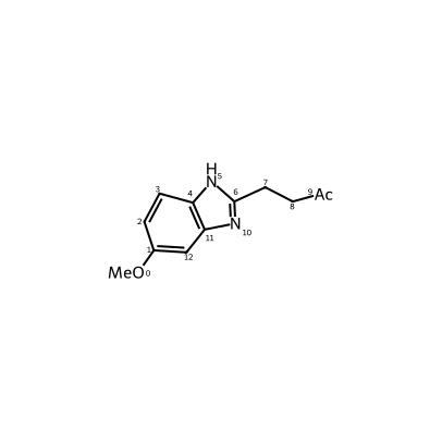 COc1ccc2[nH]c(CCC(C)=O)nc2c1